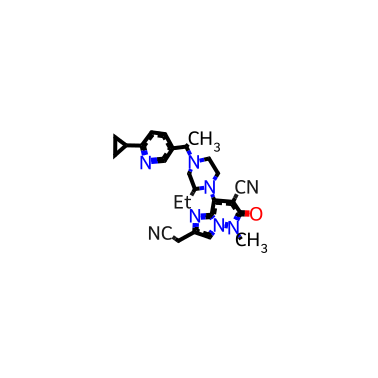 CCC1CN(C(C)c2ccc(C3CC3)nc2)CCN1c1c(C#N)c(=O)n(C)n2cc(CC#N)nc12